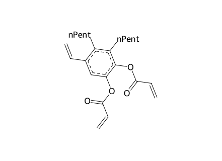 C=CC(=O)Oc1cc(C=C)c(CCCCC)c(CCCCC)c1OC(=O)C=C